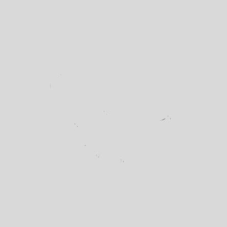 Nc1nn2ccnc2c(Nc2ccc(C(F)(F)F)cc2)c1[C@H]1CC[C@H](N)CC1